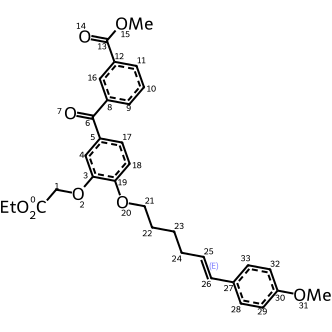 CCOC(=O)COc1cc(C(=O)c2cccc(C(=O)OC)c2)ccc1OCCCC/C=C/c1ccc(OC)cc1